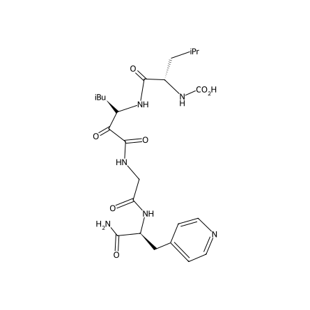 CC[C@H](C)C(NC(=O)[C@H](CC(C)C)NC(=O)O)C(=O)C(=O)NCC(=O)N[C@@H](Cc1ccncc1)C(N)=O